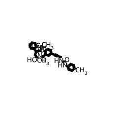 Cc1ccc(NC(=O)NCC#Cc2ccc(OC(C)C)c(C(=O)N[C@](C)(O)Cc3c[nH]c4ccccc34)c2)cc1